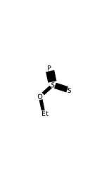 CCOS(#P)=S